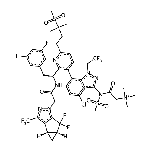 CC(C)(CCc1ccc(-c2ccc(Cl)c3c(N(C(=O)C[N+](C)(C)C)S(C)(=O)=O)nn(CC(F)(F)F)c23)c([C@H](Cc2cc(F)cc(F)c2)NC(=O)Cn2nc(C(F)(F)F)c3c2C(F)(F)[C@@H]2C[C@H]32)n1)S(C)(=O)=O